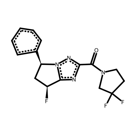 O=C(c1nc2n(n1)[C@H](c1ccccc1)C[C@@H]2F)N1CCC(F)(F)C1